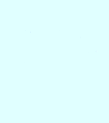 CCOC(=O)C1CCCc2c1c1c(OC)ccc(F)c1n2Cc1ccccc1.COc1ccc(F)c2c1c1c(n2Cc2ccccc2)CCCC1C(N)=O